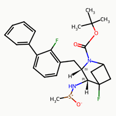 C[S+]([O-])N[C@@H]1[C@H](Cc2cccc(-c3ccccc3)c2F)N(C(=O)OC(C)(C)C)C2CC1(F)C2